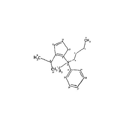 CCCC[Si](C)(C1=C(C(C)C)C=CC1)c1ccccc1